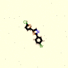 Clc1ccc(-c2cnc(-c3ccc(Br)cc3)s2)s1